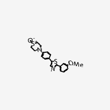 COc1cccc(-c2ncc(-c3ccc(N4CC[S+]([O-])CC4)cc3)s2)c1